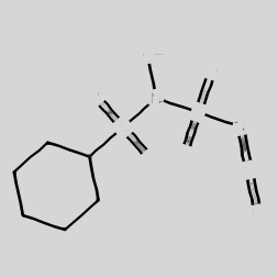 CN(S(=O)(=O)N=C=O)S(=O)(=O)C1CCCCC1